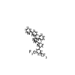 FC(F)(F)c1cc(-c2cccc(-c3nnc(-c4cccc(-c5ccccn5)n4)n3-c3ccccc3)n2)cc(C(F)(F)F)c1